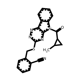 CC1CC1C(=O)n1c2ccccc2c2nnc(SCc3ccccc3C#N)nc21